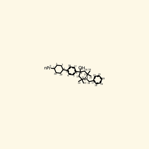 CCCC1CCC(c2ccc(C3(O)CC(C)(C)N(Cc4ccccc4)C(C)(C)C3)cc2)CC1